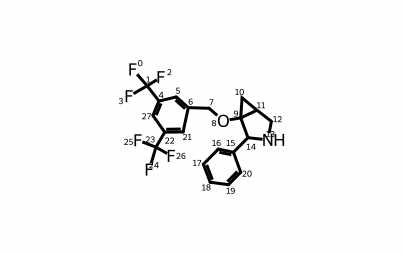 FC(F)(F)c1cc(COC23CC2CNC3c2ccccc2)cc(C(F)(F)F)c1